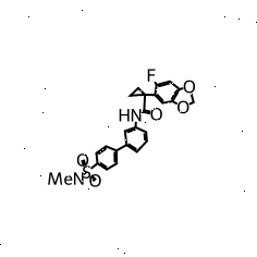 CNS(=O)(=O)c1ccc(-c2cccc(NC(=O)C3(c4cc5c(cc4F)OCO5)CC3)c2)cc1